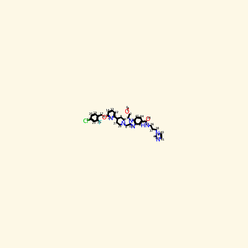 COCCn1c(CN2CCC(c3cccc(OCc4ccc(Cl)cc4F)n3)CC2)nc2cc(C(=O)NCCCn3ccnc3)ccc21